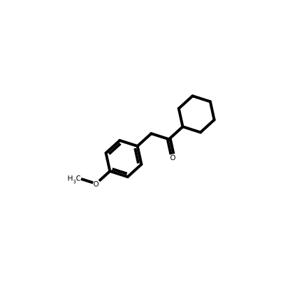 COc1ccc(CC(=O)C2CCCCC2)cc1